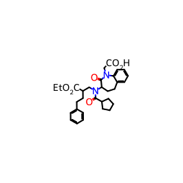 CCOC(=O)C(CCc1ccccc1)CN(C(=O)C1CCCC1)C1CCc2ccccc2N(CC(=O)O)C1=O